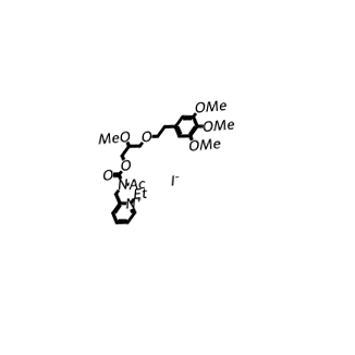 CC[n+]1ccccc1CN(C(C)=O)C(=O)OCC(COCCc1cc(OC)c(OC)c(OC)c1)OC.[I-]